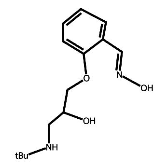 CC(C)(C)NCC(O)COc1ccccc1/C=N/O